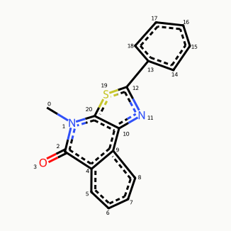 Cn1c(=O)c2ccccc2c2nc(-c3ccccc3)sc21